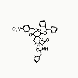 O=C(Cc1cccs1)NC1C(=O)N2C(C(=O)OC(c3ccccc3)c3ccccc3)C(C(=O)OCc3ccc([N+](=O)[O-])cc3)=CS[C@H]12